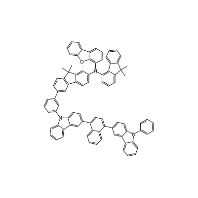 CC1(C)c2ccc(-c3cccc(-n4c5ccccc5c5cc(-c6ccc(-c7ccc8c(c7)c7ccccc7n8-c7ccccc7)c7ccccc67)ccc54)c3)cc2-c2ccc(N(c3cccc4c3-c3ccccc3C4(C)C)c3cccc4c3oc3ccccc34)cc21